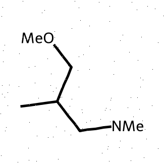 CNCC(C)COC